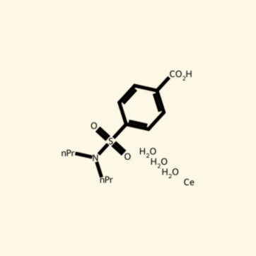 CCCN(CCC)S(=O)(=O)c1ccc(C(=O)O)cc1.O.O.O.[Ce]